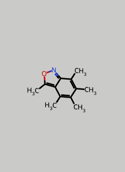 Cc1c(C)c(C)c2c(C)onc2c1C